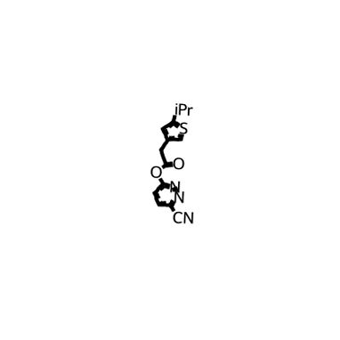 CC(C)c1cc(CC(=O)Oc2ccc(C#N)nn2)cs1